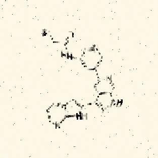 CC(C)CC(=O)Nc1cncc(-c2cc3c(-c4cc5cccnc5[nH]4)n[nH]c3cn2)c1